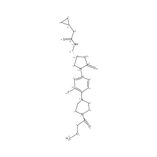 COCC(=O)N1CCN(c2ccc(N3C[C@H](CNC(=S)CC4CC4)OC3=O)cc2F)CC1